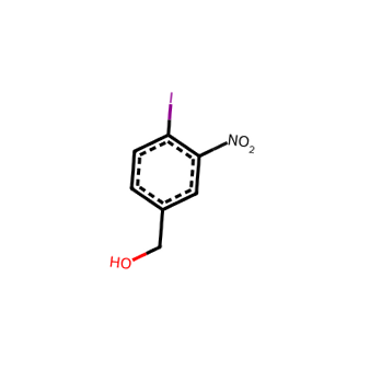 O=[N+]([O-])c1cc(CO)ccc1I